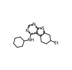 CCC1CCc2c(sc3ncnc(NC4CCCCC4)c23)C1